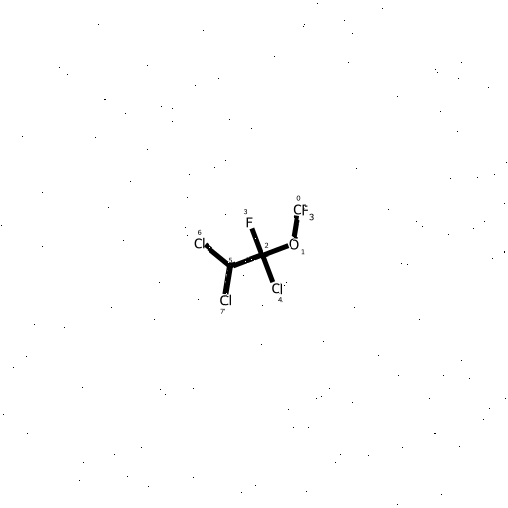 FC(F)(F)OC(F)(Cl)C(Cl)Cl